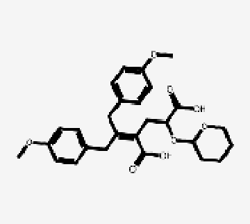 COc1ccc(CC(Cc2ccc(OC)cc2)=C(CC(OC2CCCCO2)C(=O)O)C(=O)O)cc1